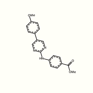 COC(=O)c1ccc(Nc2ncc(-c3ccc(OC)cc3)cn2)cc1